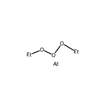 CCOOOCC.[Al]